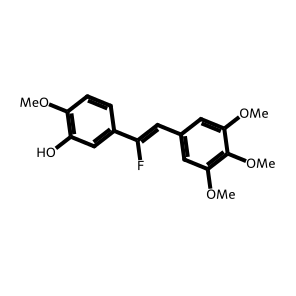 COc1ccc(/C(F)=C/c2cc(OC)c(OC)c(OC)c2)cc1O